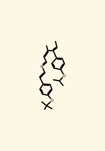 C\C=C(/C(C)=C\C=N\C=C\c1ccc(OC(C)(C)C)cc1)c1ccc(OC(C)C)cc1